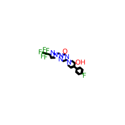 O=c1nc(N2CC=C(c3ccc(F)cc3)C(O)C2)cnn1Cn1ccc(C(F)(F)C(F)(F)F)n1